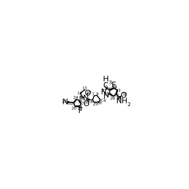 Cc1nn(C[C@H]2CC[C@H](C(=O)N3OCC[C@H]3c3cc(F)cc(C#N)c3)CC2)c2cc(C(N)=O)cc(F)c12